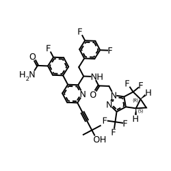 CC(C)(O)C#Cc1ccc(-c2ccc(F)c(C(N)=O)c2)c(C(Cc2cc(F)cc(F)c2)NC(=O)Cn2nc(C(F)(F)F)c3c2C(F)(F)[C@@H]2C[C@H]32)n1